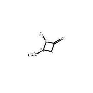 CCN1C(=O)C[C@H]1C(=O)O